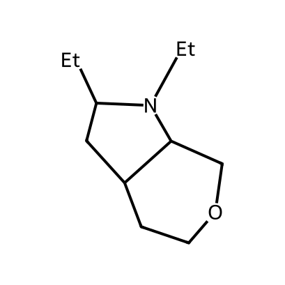 CCC1CC2CCOCC2N1CC